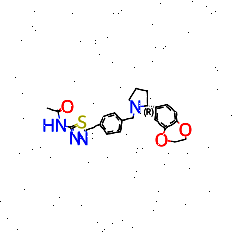 CC(=O)Nc1nnc(-c2ccc(CN3CCC[C@@H]3c3ccc4c(c3)OCCO4)cc2)s1